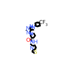 O=C(NCc1ccc2sccc2n1)[C@H]1CCCN(c2ncnc3nn(-c4ccc(C(F)(F)F)cc4)cc23)C1